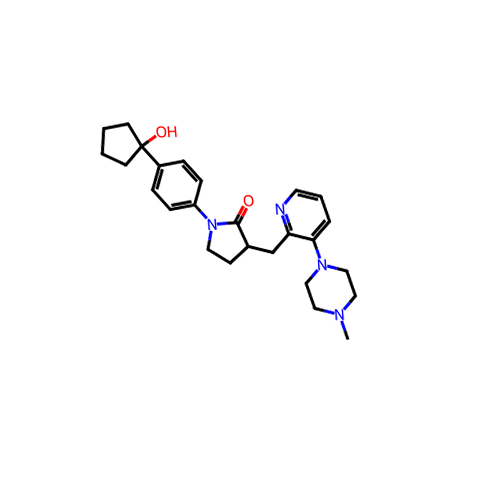 CN1CCN(c2cccnc2CC2CCN(c3ccc(C4(O)CCCC4)cc3)C2=O)CC1